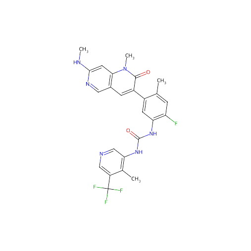 CNc1cc2c(cn1)cc(-c1cc(NC(=O)Nc3cncc(C(F)(F)F)c3C)c(F)cc1C)c(=O)n2C